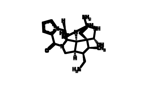 C[C@H]1[C@@H](CN)[C@H]2CN3C(=O)c4cccn4[C@H]4NC(N)=NC43[C@H]2[C@@]12C=C(N)N[C@@H]2O